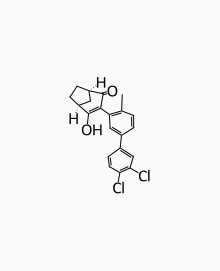 Cc1ccc(-c2ccc(Cl)c(Cl)c2)cc1C1=C(O)[C@H]2CC[C@H](C2)C1=O